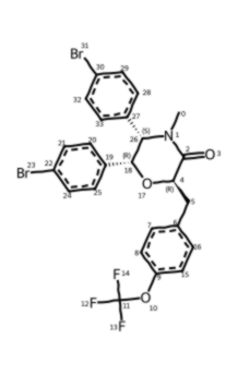 CN1C(=O)[C@@H](Cc2ccc(OC(F)(F)F)cc2)O[C@H](c2ccc(Br)cc2)[C@@H]1c1ccc(Br)cc1